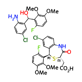 COc1ccc(F)c(C(O)c2cc(Cl)ccc2N)c1OC.COc1ccc(F)c([C@@H]2S[C@@H](CC(=O)O)C(=O)Nc3ccc(Cl)cc32)c1OC